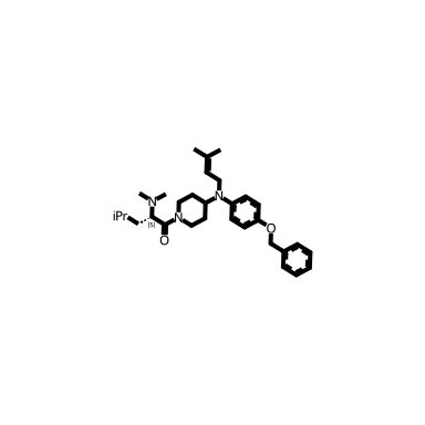 CC(C)=CCN(c1ccc(OCc2ccccc2)cc1)C1CCN(C(=O)[C@H](CC(C)C)N(C)C)CC1